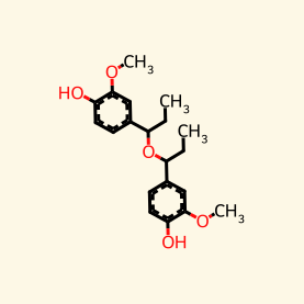 CCC(OC(CC)c1ccc(O)c(OC)c1)c1ccc(O)c(OC)c1